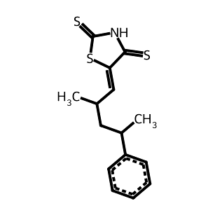 CC(/C=C1\SC(=S)NC1=S)CC(C)c1ccccc1